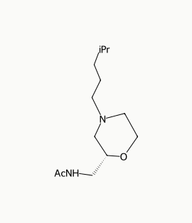 CC(=O)NC[C@@H]1CN(CCCC(C)C)CCO1